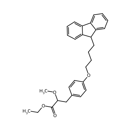 CCOC(=O)C(Cc1ccc(OCCCCC2c3ccccc3-c3ccccc32)cc1)OC